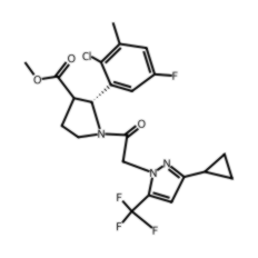 COC(=O)C1CCN(C(=O)Cn2nc(C3CC3)cc2C(F)(F)F)[C@H]1c1cc(F)cc(C)c1Cl